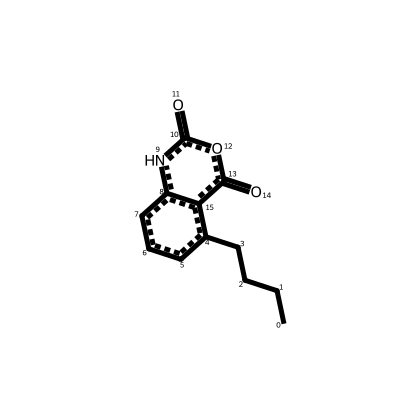 CCCCc1cccc2[nH]c(=O)oc(=O)c12